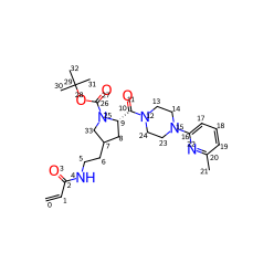 C=CC(=O)NCCC1C[C@@H](C(=O)N2CCN(c3cccc(C)n3)CC2)N(C(=O)OC(C)(C)C)C1